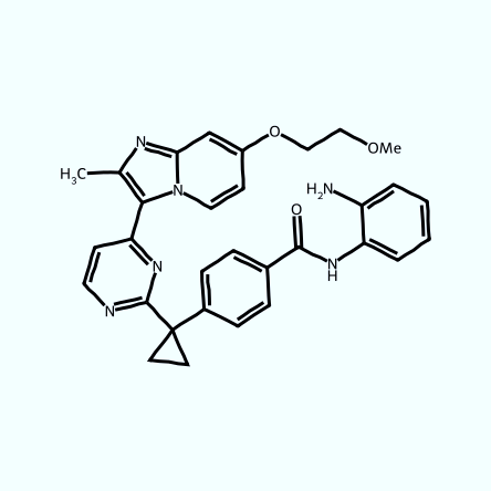 COCCOc1ccn2c(-c3ccnc(C4(c5ccc(C(=O)Nc6ccccc6N)cc5)CC4)n3)c(C)nc2c1